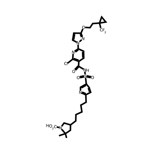 CC1(C)CC(CCCCCc2ccc(S(=O)(=O)NC(=O)c3ccc(-n4ccc(OCCC5(C(F)(F)F)CC5)n4)nc3Cl)cn2)CN1C(=O)O